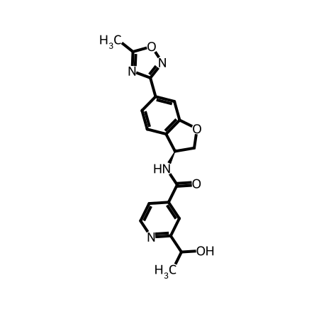 Cc1nc(-c2ccc3c(c2)OC[C@H]3NC(=O)c2ccnc(C(C)O)c2)no1